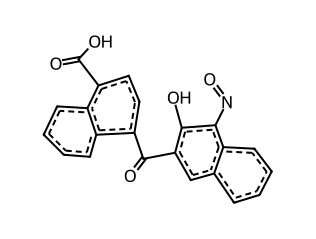 O=Nc1c(O)c(C(=O)c2ccc(C(=O)O)c3ccccc23)cc2ccccc12